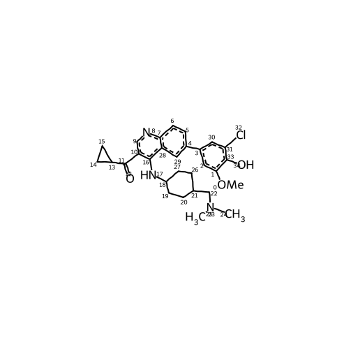 COc1cc(-c2ccc3ncc(C(=O)C4CC4)c(NC4CCC(CN(C)C)CC4)c3c2)cc(Cl)c1O